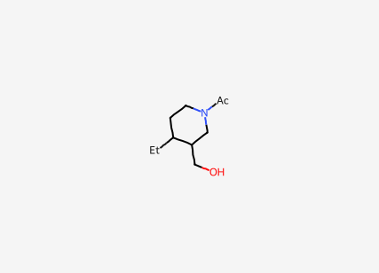 CCC1CCN(C(C)=O)CC1CO